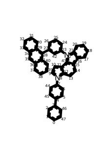 c1ccc(-c2ccc(-n3ccc4c3ccc3c5ccccc5n(-c5cccc(-c6c7ccccc7cc7ccccc67)c5)c34)cc2)cc1